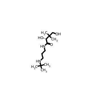 CC(C)(C)NCCCNC(=O)[C@H](O)C(C)(C)CO